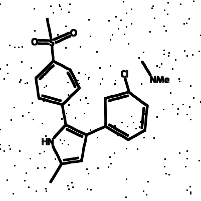 CNC.Cc1cc(-c2cccc(Cl)c2)c(-c2ccc(S(C)(=O)=O)cc2)[nH]1